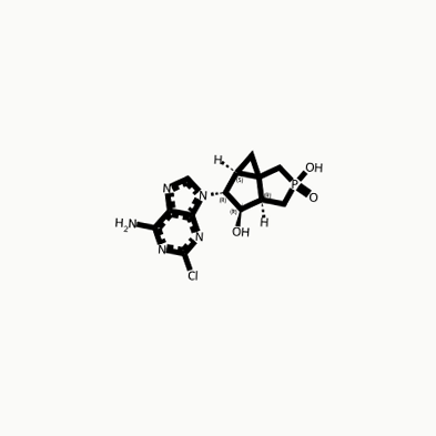 Nc1nc(Cl)nc2c1ncn2[C@H]1[C@H](O)[C@@H]2CP(=O)(O)CC23C[C@H]13